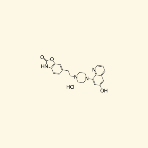 Cl.O=c1[nH]c2ccc(CCN3CCN(c4cc(O)cc5cccnc45)CC3)cc2o1